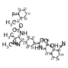 Cc1c(NC(=O)OC(C)c2ccccc2F)c(-c2ccc(C(=O)NC(Cc3cccc(C#N)c3)C(=O)O)cc2)nn1C